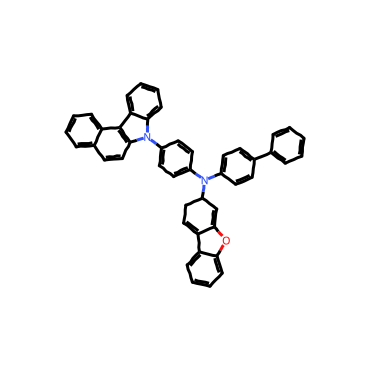 C1=c2oc3ccccc3c2=CCC1N(c1ccc(-c2ccccc2)cc1)c1ccc(-n2c3ccccc3c3c4ccccc4ccc32)cc1